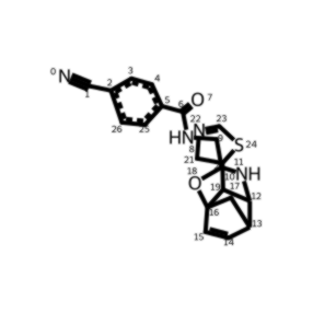 N#Cc1ccc(C(=O)NCC2NC3C4C=CC(C4)(O2)C3C2CN=CS2)cc1